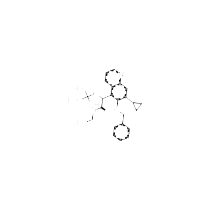 CCOC(=O)C(OC(C)(C)C)c1c(OCc2ccccc2)c(C2CC2)cc2ncccc12